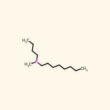 CCCCCCCCP(C)CCCC